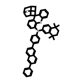 CC1(C)CCC(C)(C)c2cc(N(c3ccc(-c4ccc5cc(-c6ccccc6)ccc5c4)cc3)c3cccc4c3Sc3ccccc3C43C4CC5CC6CC3C64C5)ccc21